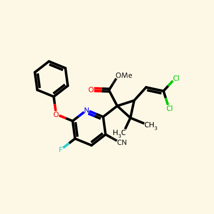 COC(=O)C1(c2nc(Oc3ccccc3)c(F)cc2C#N)C(C=C(Cl)Cl)C1(C)C